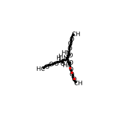 C#CCOCCOCCOCCNC(=O)CCC(N)(CCC(=O)NCCOCCOCCOCC#C)CCC(=O)NCCOCCOCCOCC#C